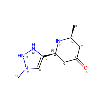 C[C@H]1CC(=O)C[C@@H](C2=CN(C)NN2)N1